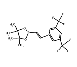 CC1(C)OB(C=Cc2cc(C(F)(F)F)cc(C(F)(F)F)c2)OC1(C)C